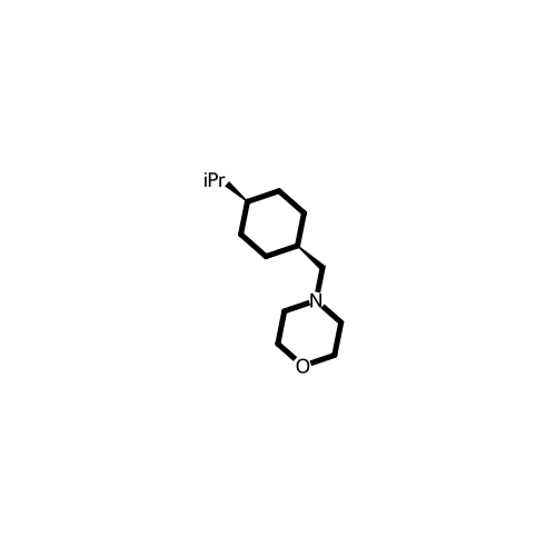 CC(C)[C@H]1CC[C@@H](CN2CCOCC2)CC1